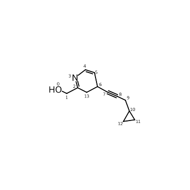 OCC1=NC=CC(C#CCC2CC2)C1